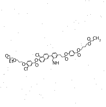 C=CC(=O)OCCCCOC(=O)c1ccc(OC(=O)CCc2ccc(-c3ccc4c(Cl)c(OC(=O)c5ccc(OCCCOCC6(CC)COC6)c(Cl)c5)ccc4c3)c(C=N)c2)cc1